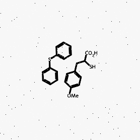 COc1ccc(CC(S)C(=O)O)cc1.c1ccc(Sc2ccccc2)cc1